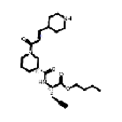 C#CC[C@H](NC(=O)[C@@H]1CCCN(C(=O)/C=C/C2CCNCC2)C1)C(=O)OCCCC